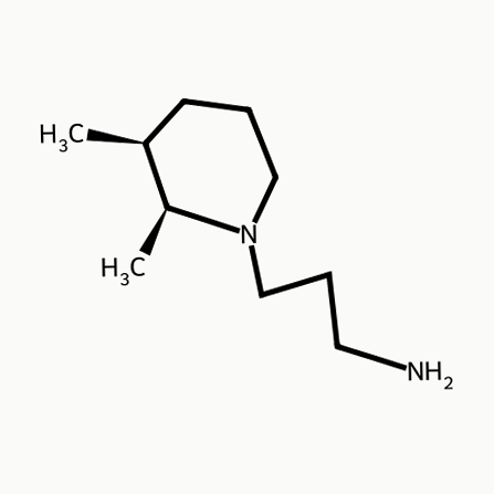 C[C@H]1CCCN(CCCN)[C@H]1C